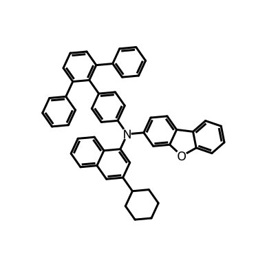 c1ccc(-c2cccc(-c3ccccc3)c2-c2ccc(N(c3ccc4c(c3)oc3ccccc34)c3cc(C4CCCCC4)cc4ccccc34)cc2)cc1